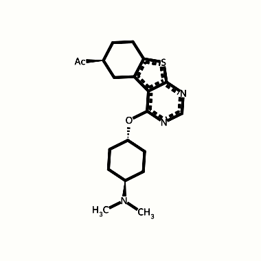 CC(=O)[C@H]1CCc2sc3ncnc(O[C@H]4CC[C@H](N(C)C)CC4)c3c2C1